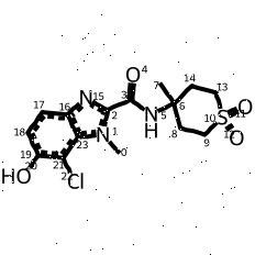 Cn1c(C(=O)NC2(C)CCS(=O)(=O)CC2)nc2ccc(O)c(Cl)c21